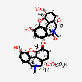 CN1CC[C@]23c4c5ccc(O)c4O[C@H]2C(=O)CC[C@@]3(O)[C@H]1C5.CN1CC[C@]23c4c5ccc(O)c4O[C@H]2[C@@H](O)C=C[C@@]3(O)[C@H]1C5=O.O=S(=O)(O)O